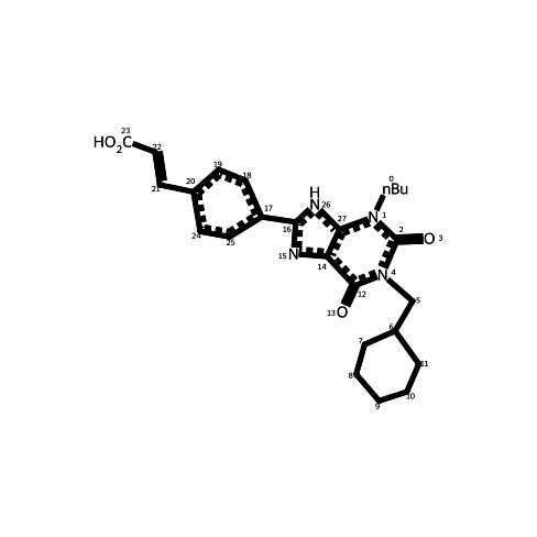 CCCCn1c(=O)n(CC2CCCCC2)c(=O)c2nc(-c3ccc(C=CC(=O)O)cc3)[nH]c21